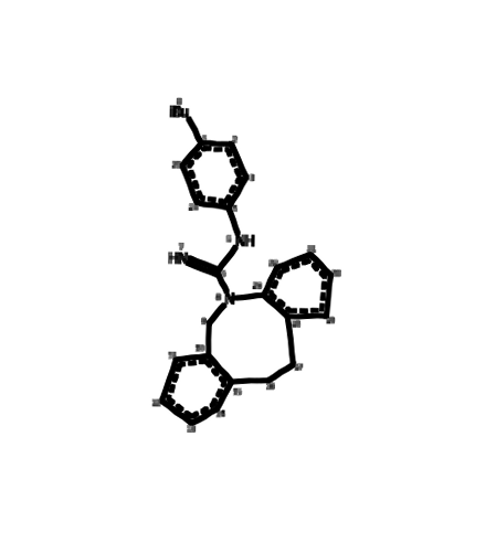 CCC(C)c1ccc(NC(=N)N2Cc3ccccc3CCc3ccccc32)cc1